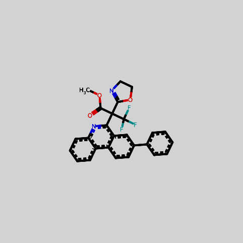 COC(=O)C(C1=NCCO1)(c1nc2ccccc2c2ccc(-c3ccccc3)cc12)C(F)(F)F